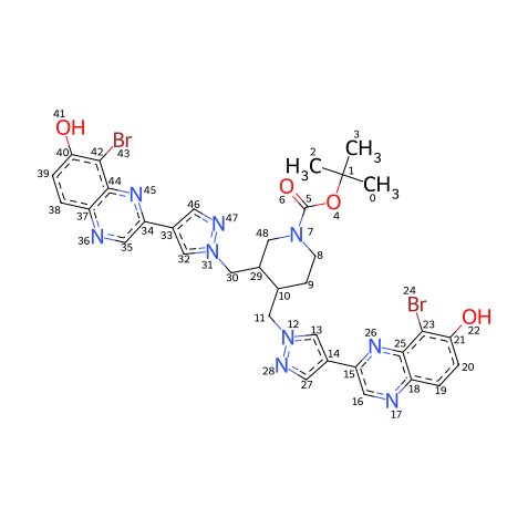 CC(C)(C)OC(=O)N1CCC(Cn2cc(-c3cnc4ccc(O)c(Br)c4n3)cn2)C(Cn2cc(-c3cnc4ccc(O)c(Br)c4n3)cn2)C1